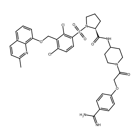 Cc1ccc2cccc(OCc3c(Cl)ccc(S(=O)(=O)N4CCC[C@H]4C(=O)NC4CCN(C(=O)COc5ccc(C(=N)N)cc5)CC4)c3Cl)c2n1